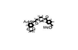 COCc1ccc(C(=O)N2CCN(CC(=O)Nc3cc4c(cc3C(C)=O)OCCO4)CC2)cc1